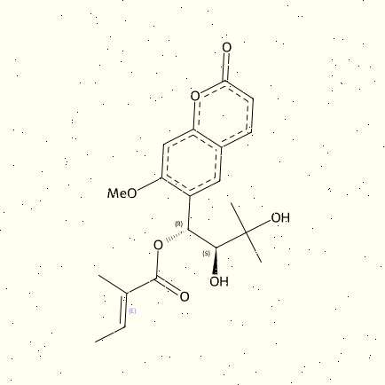 C/C=C(\C)C(=O)O[C@H](c1cc2ccc(=O)oc2cc1OC)[C@H](O)C(C)(C)O